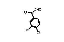 CN(C=O)c1ccc(O)c(O)c1